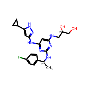 C[C@H](Nc1nc(NC[C@@H](O)CO)cc(Nc2cc(C3CC3)[nH]n2)n1)c1ccc(F)cc1